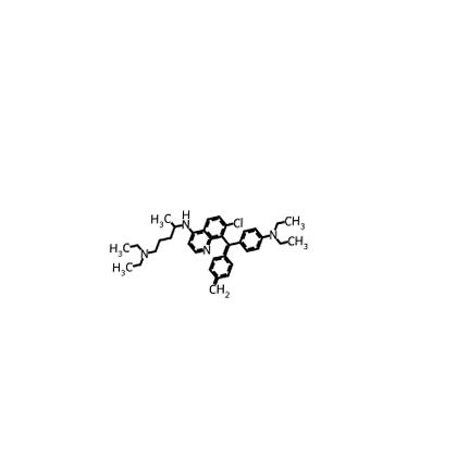 C=c1ccc(=C(c2ccc(N(CC)CC)cc2)c2c(Cl)ccc3c(NC(C)CCCN(CC)CC)ccnc23)cc1